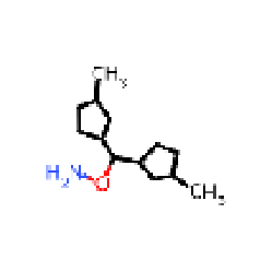 CC1CCC(C(ON)C2CCC(C)C2)C1